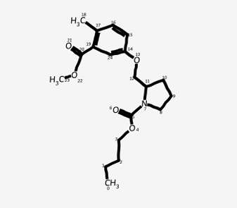 CCCCOC(=O)N1CCCC1COc1ccc(C)c(C(=O)OC)c1